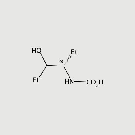 CCC(O)[C@H](CC)NC(=O)O